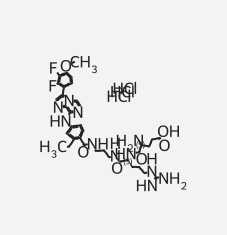 CCc1cc(Nc2nccn3c(-c4ccc(OC)c(F)c4F)cnc23)ccc1C(=O)NCCCNC(=O)[C@H](CCCNC(=N)N)NC(=O)[C@@H](N)CCC(=O)O.Cl.Cl.Cl